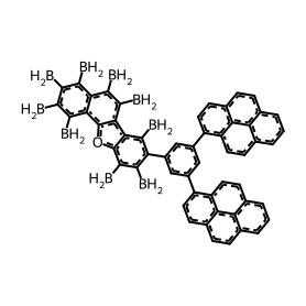 Bc1c(-c2cc(-c3ccc4ccc5cccc6ccc3c4c56)cc(-c3ccc4ccc5cccc6ccc3c4c56)c2)c(B)c2c(oc3c4c(B)c(B)c(B)c(B)c4c(B)c(B)c32)c1B